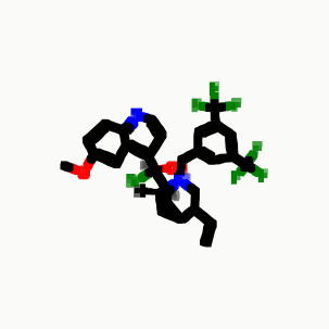 C=CC1C[N+]2(Cc3cc(C(F)(F)F)cc(C(F)(F)F)c3)CCC1C[C@H]2[C@](O)(Br)c1ccnc2ccc(OC)cc12